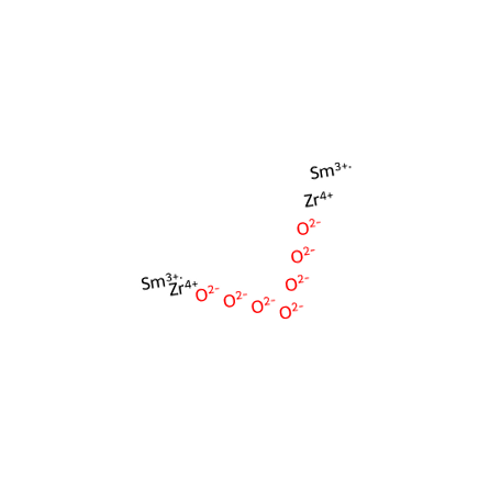 [O-2].[O-2].[O-2].[O-2].[O-2].[O-2].[O-2].[Sm+3].[Sm+3].[Zr+4].[Zr+4]